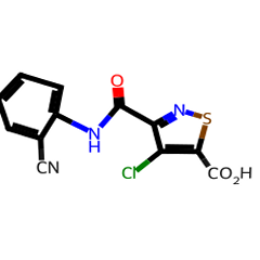 N#Cc1ccccc1NC(=O)c1nsc(C(=O)O)c1Cl